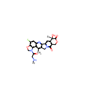 CC[C@@]1(O)C(=O)OCc2c1cc1n(c2=O)Cc2c-1nc1cc(F)c3c(c1c2C)N(C(=O)CNC(C)C)CO3